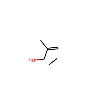 C=C(C)CO.CC